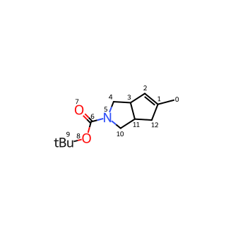 CC1=CC2CN(C(=O)OC(C)(C)C)CC2C1